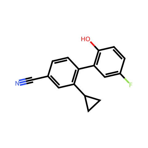 N#Cc1ccc(-c2cc(F)ccc2O)c(C2CC2)c1